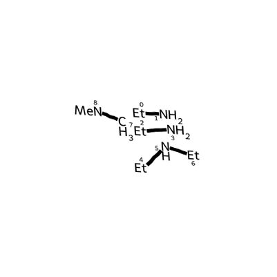 CCN.CCN.CCNCC.CNC